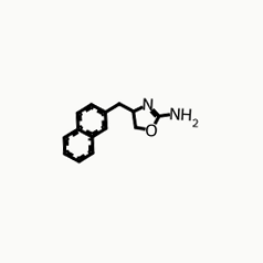 NC1=NC(Cc2ccc3ccccc3c2)CO1